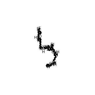 C[C@H](Cc1cc(CC(=O)Nc2ccc(CCCCc3nnc(NC(=O)Cc4ccccn4)s3)nn2)cc(OC(F)(F)F)c1)c1cccnc1CC(=O)Nc1nnc(CCCCc2ccc(NC(=O)Cc3cccc(OC(F)(F)F)c3)nn2)s1